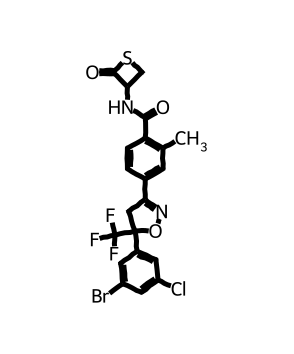 Cc1cc(C2=NOC(c3cc(Cl)cc(Br)c3)(C(F)(F)F)C2)ccc1C(=O)NC1CSC1=O